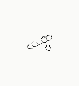 C=C/C(=C\C1=CCC2C=CC=CC2=C1)N(c1ccccc1)c1ccccc1